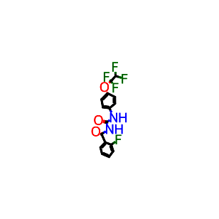 O=C(NC(=O)c1ccccc1F)Nc1ccc(OC(F)(F)C(F)F)cc1